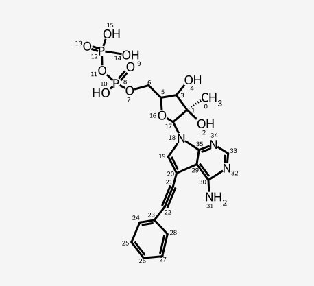 C[C@@]1(O)C(O)C(COP(=O)(O)OP(=O)(O)O)OC1n1cc(C#Cc2ccccc2)c2c(N)ncnc21